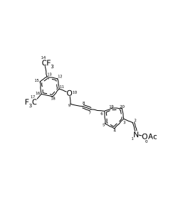 CC(=O)ON=Cc1ccc(C#CCOc2cc(C(F)(F)F)cc(C(F)(F)F)c2)cc1